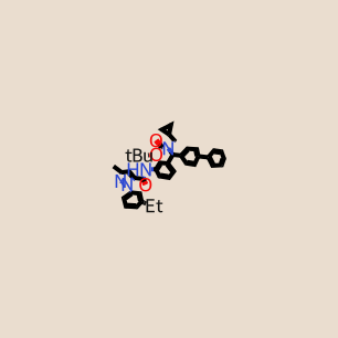 CCc1cccc(-n2nc(C)cc2C(=O)Nc2cccc(C(c3ccc(-c4ccccc4)cc3)N(CC3CC3)C(=O)OC(C)(C)C)c2)c1